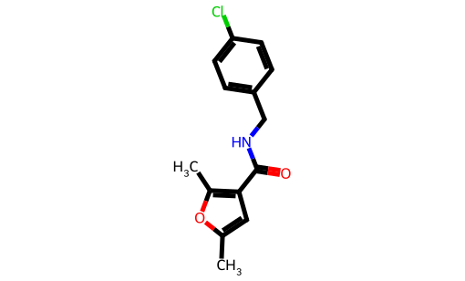 Cc1cc(C(=O)NCc2ccc(Cl)cc2)c(C)o1